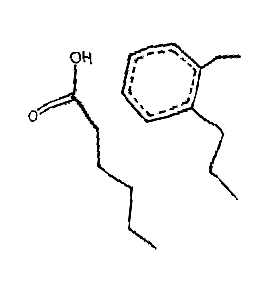 CCCCCC(=O)O.CCCc1ccccc1C